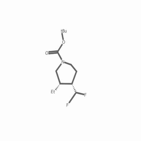 CC[C@@H]1CN(C(=O)OC(C)(C)C)CC[C@@H]1C(F)F